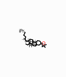 CC(C)CCC[C@@H](C)[C@H]1CC[C@H]2[C@@H]3CC=C4C[C@@H](O[Si](C)(C)C)CC[C@]4(C)[C@H]3CC[C@]12C